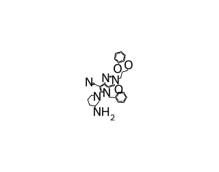 N#Cc1c(N2CCC[C@H](N)C2)n(Cc2ccccc2)c2c(=O)n(CC3COc4ccccc4O3)cnc12